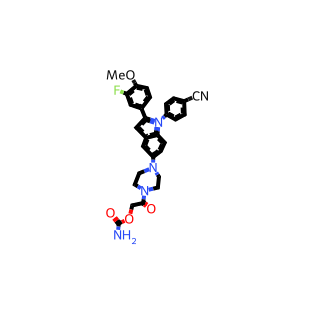 COc1ccc(-c2cc3cc(N4CCN(C(=O)COC(N)=O)CC4)ccc3n2-c2ccc(C#N)cc2)cc1F